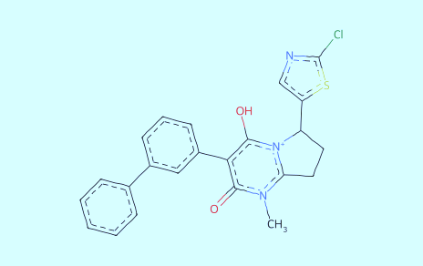 Cn1c2[n+](c(O)c(-c3cccc(-c4ccccc4)c3)c1=O)C(c1cnc(Cl)s1)CC2